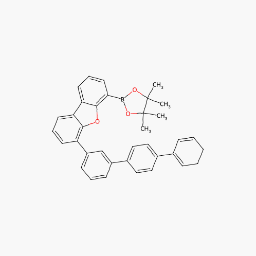 CC1(C)OB(c2cccc3c2oc2c(-c4cccc(-c5ccc(C6=CCCC=C6)cc5)c4)cccc23)OC1(C)C